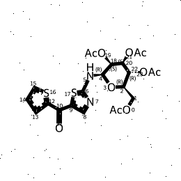 CC(=O)OC[C@H]1O[C@@H](Nc2ncc(C(=O)c3cccs3)s2)[C@@H](OC(C)=O)[C@@H](OC(C)=O)[C@@H]1OC(C)=O